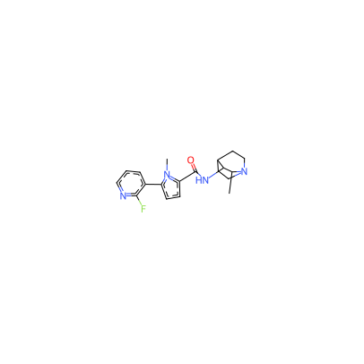 CC1C(NC(=O)c2ccc(-c3cccnc3F)n2C)C2CCN1CC2